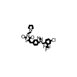 O=C1SC(=Cc2ccc3c(c2)nnn3Cc2ccc(Cl)cc2C(F)(F)F)C(=O)N1CCN1CCCC1